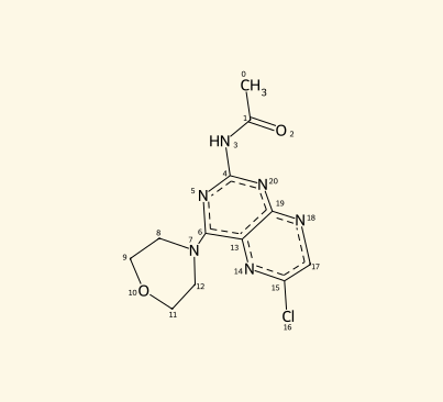 CC(=O)Nc1nc(N2CCOCC2)c2nc(Cl)cnc2n1